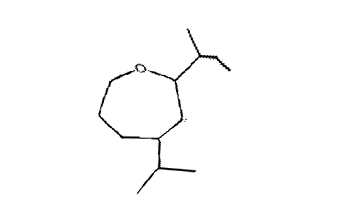 CC(C)C1[C]C(C(C)C)OCCC1